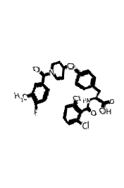 Cc1cc(C(=O)N2CCC(Oc3ccc(C[C@H](NC(=O)c4c(Cl)cccc4Cl)C(=O)O)cc3)CC2)ccc1F